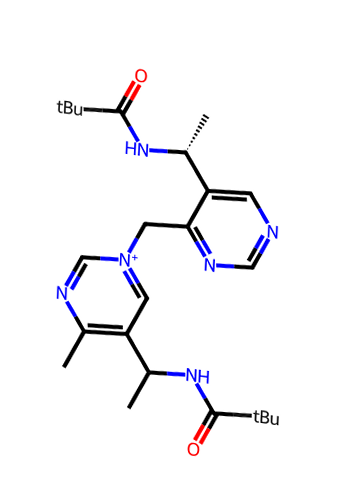 Cc1nc[n+](Cc2ncncc2[C@@H](C)NC(=O)C(C)(C)C)cc1C(C)NC(=O)C(C)(C)C